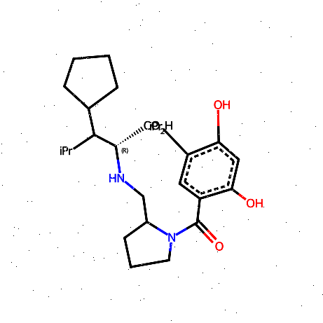 CC(C)c1cc(C(=O)N2CCCC2CN[C@@H](C(=O)O)C(C(C)C)C2CCCC2)c(O)cc1O